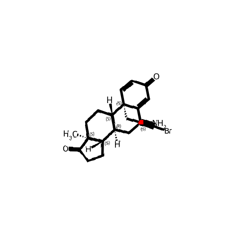 C[C@]12CC[C@H]3[C@@H](C[C@H](N)C4=CC(=O)C=C[C@@]43CC#CBr)[C@@H]1CCC2=O